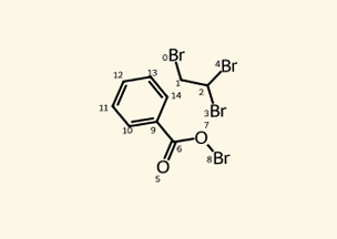 BrCC(Br)Br.O=C(OBr)c1ccccc1